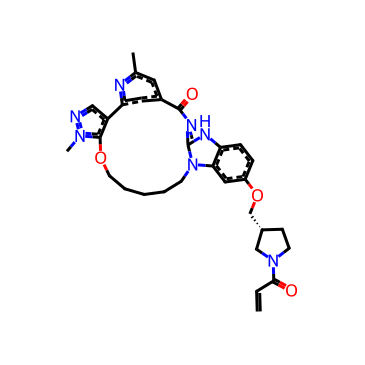 C=CC(=O)N1CC[C@@H](COc2ccc3c(c2)N2CCCCCOc4c(cnn4C)-c4cc(cc(C)n4)C(=O)/N=C/2N3)C1